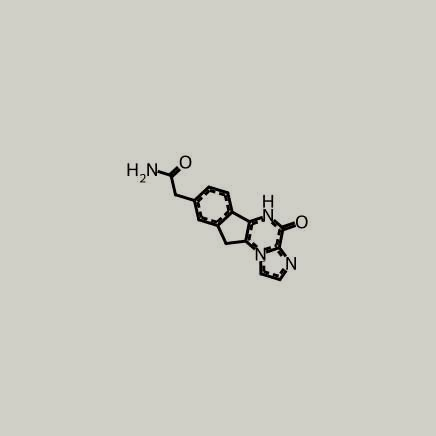 NC(=O)Cc1ccc2c(c1)Cc1c-2[nH]c(=O)c2nccn12